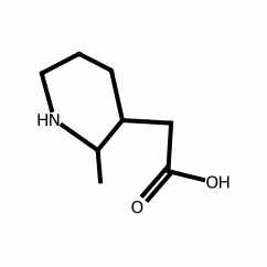 CC1NCCCC1CC(=O)O